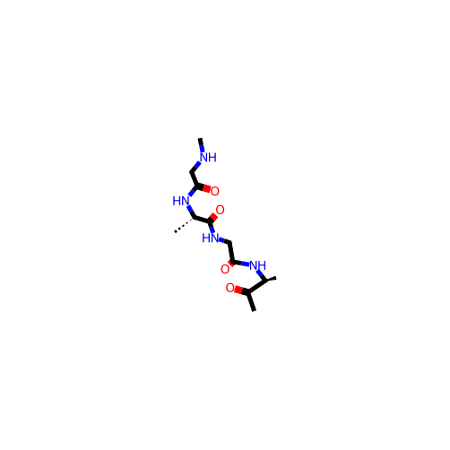 CNCC(=O)N[C@@H](C)C(=O)NCC(=O)N[C@@H](C)C(C)=O